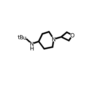 CC(C)(C)NC1CCN(C2COC2)CC1